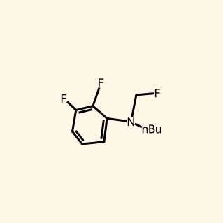 CCCCN(CF)c1cccc(F)c1F